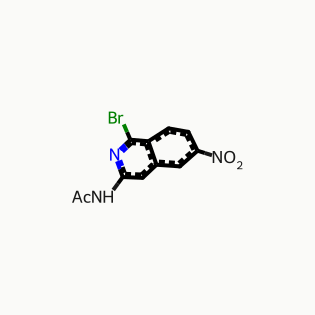 CC(=O)Nc1cc2cc([N+](=O)[O-])ccc2c(Br)n1